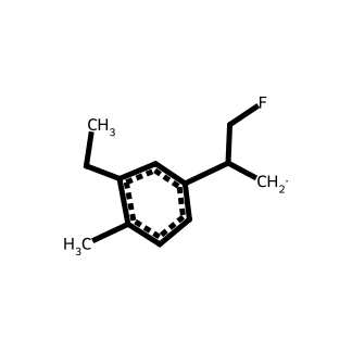 [CH2]C(CF)c1ccc(C)c(CC)c1